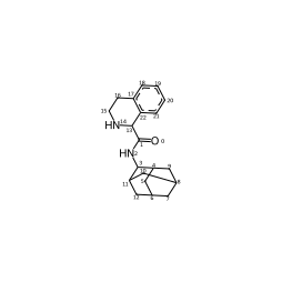 O=C(NC1C2CC3CC(C2)CC1C3)C1NCCc2ccccc21